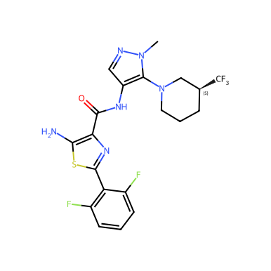 Cn1ncc(NC(=O)c2nc(-c3c(F)cccc3F)sc2N)c1N1CCC[C@H](C(F)(F)F)C1